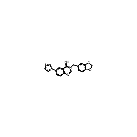 N=c1c2cc(-n3ccnc3)ccc2ncn1Cc1ccc2c(c1)OCO2